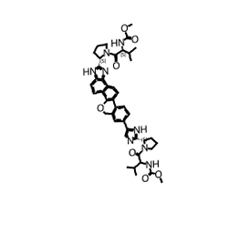 COC(=O)NC(C(=O)N1CCC[C@H]1c1ncc(-c2ccc3c(c2)COc2c-3ccc3c2ccc2[nH]c([C@@H]4CCCN4C(=O)[C@@H](NC(=O)OC)C(C)C)nc23)[nH]1)C(C)C